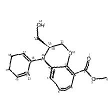 COC(=O)c1cccc2c1OC[C@H](CO)N2C1=CCCC=N1